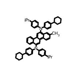 Cc1ccc2c(c1)c(N(c1ccc(C(C)C)cc1)c1ccc(C3CCCCC3)cc1)cc1c3ccccc3c(N(c3ccc(C(C)C)cc3)c3ccc(C4CCCCC4)cc3)cc21